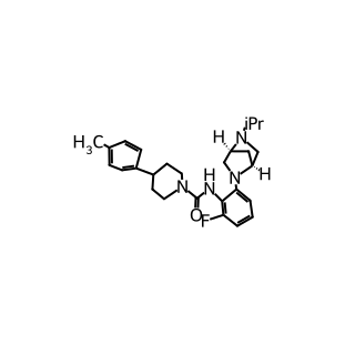 Cc1ccc(C2CCN(C(=O)Nc3c(F)cccc3N3C[C@@H]4C[C@H]3CN4C(C)C)CC2)cc1